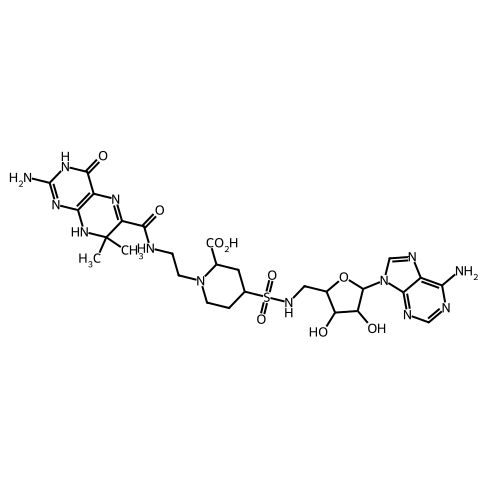 CC1(C)Nc2nc(N)[nH]c(=O)c2N=C1C(=O)NCCN1CCC(S(=O)(=O)NCC2OC(n3cnc4c(N)ncnc43)C(O)C2O)CC1C(=O)O